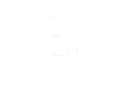 CCOc1nc(N)c2nc(C)n(Cc3cccc(Cl)n3)c2n1